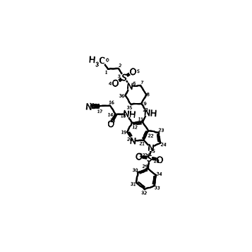 CCCS(=O)(=O)N1CCC(Nc2c(NC(=O)CC#N)cnc3c2ccn3S(=O)(=O)c2ccccc2)CC1